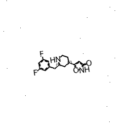 O=c1cc([C@@H]2CCN[C@H](Cc3cc(F)cc(F)c3)C2)o[nH]1